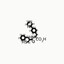 O=C(NC(Cc1ccc(-c2cnccn2)cc1)C(=O)O)C(CS)Cc1ccccc1